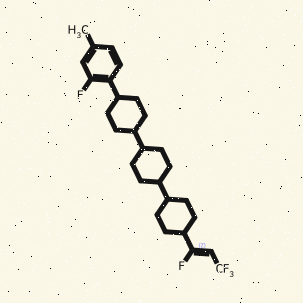 Cc1ccc(C2CCC(C3CCC(C4CCC(/C(F)=C/C(F)(F)F)CC4)CC3)CC2)c(F)c1